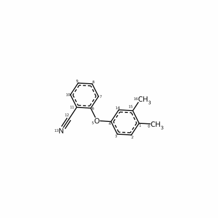 Cc1ccc(Oc2ccccc2C#N)cc1C